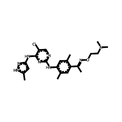 CC(=NOCCN(C)C)c1cc(C)c(Nc2ncc(Cl)c(Nc3cc(C)[nH]n3)n2)cc1C